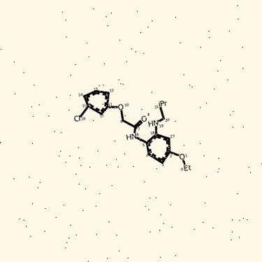 CCOc1ccc(NC(=O)COc2cccc(Cl)c2)c(NCC(C)C)c1